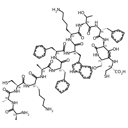 CC(O)[C@H](NC(=O)[C@H](CCCCN)NC(=O)[C@@H](Cc1c[nH]c2ccccc12)NC(=O)[C@H](Cc1ccccc1)NC(=O)[C@H](Cc1ccccc1)NC(=O)[C@H](C)NC(=O)[C@H](CCCCN)NC(=O)[C@H](CS)NC(=O)[C@@H](C)NC(=O)[C@H](C)N)C(=O)N[C@H](Cc1ccccc1)C(=O)N[C@H](C(=O)N[C@@H](CO)C(=O)N[C@@H](CS)C(=O)O)C(C)O